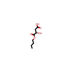 CCCCOC(=O)[C@H](O)CC(=O)O